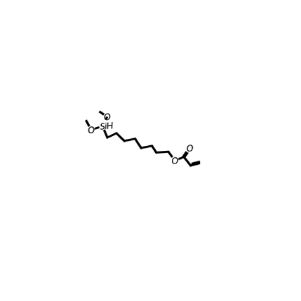 C=CC(=O)OCCCCCCCC[SiH](OC)OC